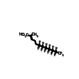 CC(=CCCC(F)(F)C(F)(F)C(F)(F)C(F)(F)C(F)(F)C(F)(F)C(F)(F)F)C(=O)O